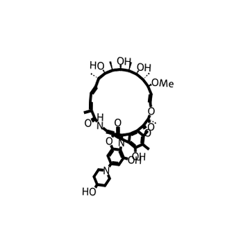 CO[C@H]1/C=C/O[C@@]2(C)Oc3c(C)c(O)c4c(=O)c(c5oc6cc(N7CCC(O)CC7)cc(O)c6nc-5c4c3C2=O)NC(=O)/C(C)=C\C=C\[C@H](C)[C@H](O)[C@@H](C)[C@@H](O)[C@@H](C)[C@H](O)[C@@H]1C